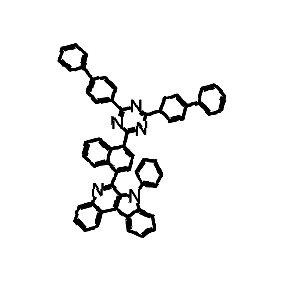 C1=CC(c2nc(-c3ccc(-c4ccccc4)cc3)nc(-c3ccc(-c4nc5ccccc5c5c6ccccc6n(-c6ccccc6)c45)c4ccccc34)n2)CC=C1c1ccccc1